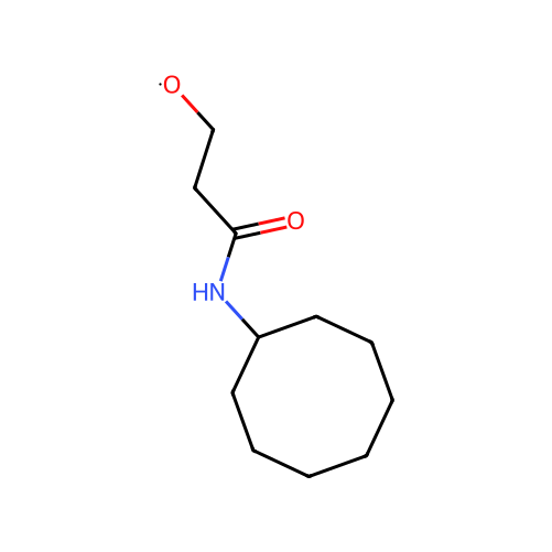 [O]CCC(=O)NC1CCCCCCC1